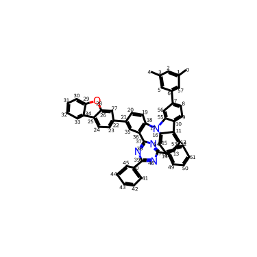 Cc1cc(C)cc(-c2ccc3c4ccccc4n(-c4ccc(-c5ccc6c(c5)oc5ccccc56)cc4-c4nc(-c5ccccc5)nc(-c5ccccc5)n4)c3c2)c1